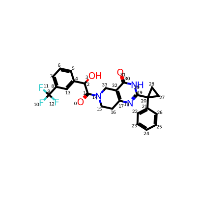 O=C(C(O)c1cccc(C(F)(F)F)c1)N1CCc2nc(C3(c4ccccc4)CC3)[nH]c(=O)c2C1